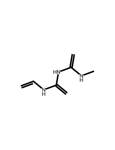 C=CNC(=C)NC(=C)NC